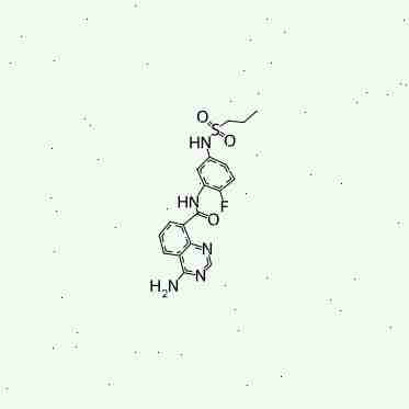 CCCS(=O)(=O)Nc1ccc(F)c(NC(=O)c2cccc3c(N)ncnc23)c1